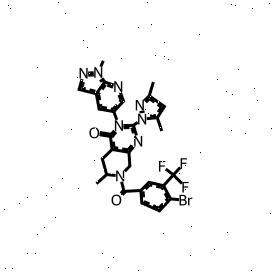 Cc1cc(C)n(-c2nc3c(c(=O)n2-c2cnc4c(cnn4C)c2)CC(C)N(C(=O)c2ccc(Br)c(C(F)(F)F)c2)C3)n1